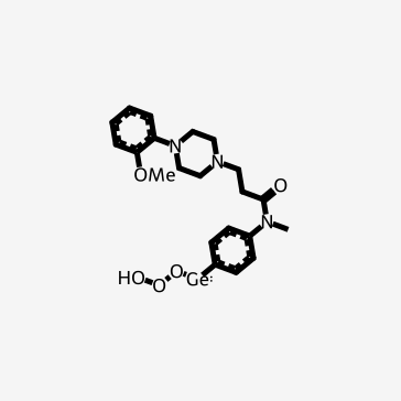 COc1ccccc1N1CCN(CCC(=O)N(C)c2cc[c]([Ge][O]OO)cc2)CC1